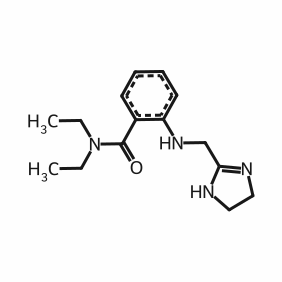 CCN(CC)C(=O)c1ccccc1NCC1=NCCN1